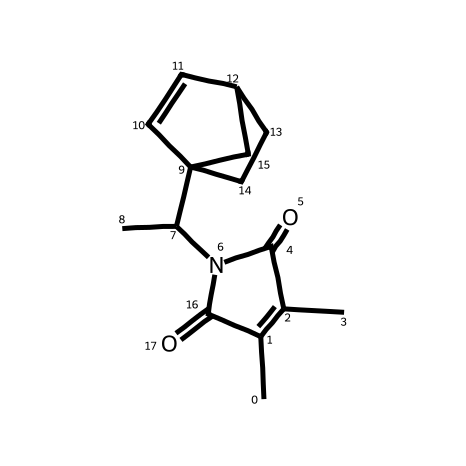 CC1=C(C)C(=O)N(C(C)C23C=CC(CC2)C3)C1=O